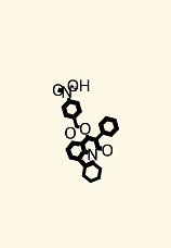 O=C(Oc1c(-c2ccccc2)c(=O)n2c3c(c4cccc1c42)CCCC3)c1ccc([N+](=O)O)cc1